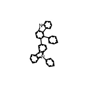 c1ccc(-c2c(-c3ccc4c(c3)c3ccccc3n4-c3ccccc3)ccc3c2-c2ccccc2[N]3)cc1